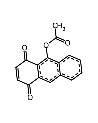 CC(=O)Oc1c2c(cc3ccccc13)C(=O)C=CC2=O